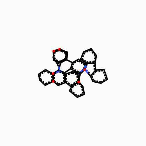 c1ccc(-c2ccccc2-c2c(-c3ccccc3)cccc2-c2ccccc2N(c2ccccc2)c2cccc(-n3c4ccccc4c4ccccc43)c2)cc1